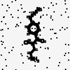 [N-]=[N+]=Nc1ccc(C(=O)N(Cl)CCN)cc1